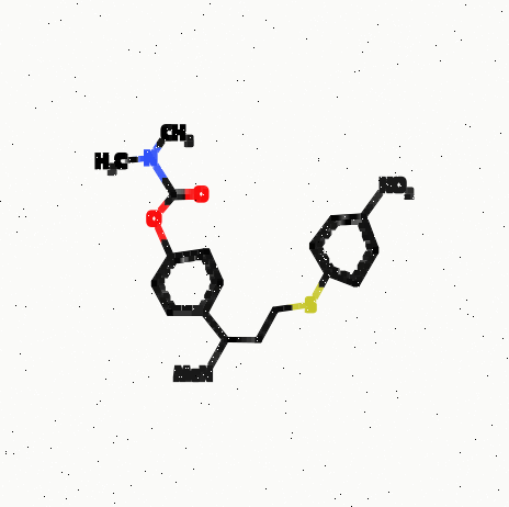 CNC(CCSc1ccc([N+](=O)[O-])cc1)c1ccc(OC(=O)N(C)C)cc1